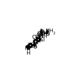 COC(=O)[C@H](CNC(N)=O)NC(=O)c1c(Cl)cc2c(c1Cl)CCN(C(=O)c1ccc3cn[nH]c3c1)C2